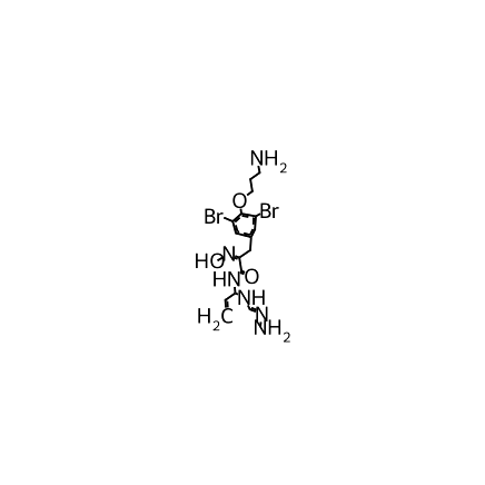 C=CC(NC=NN)NC(=O)C(Cc1cc(Br)c(OCCCN)c(Br)c1)=NO